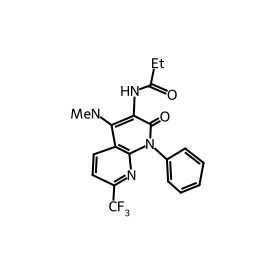 CCC(=O)Nc1c(NC)c2ccc(C(F)(F)F)nc2n(-c2ccccc2)c1=O